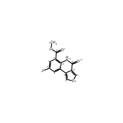 COC(=O)c1cc(F)cc2c1[nH]c(=O)c1cscc12